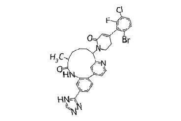 CC1CCCC(N2CCC(c3c(Br)ccc(Cl)c3F)=CC2=O)c2cc(ccn2)-c2ccc(-c3nnc[nH]3)cc2NC1=O